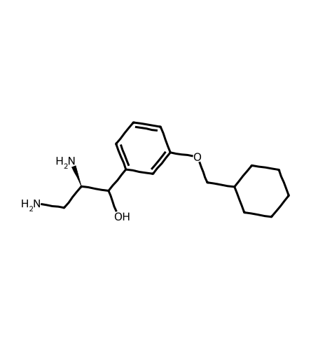 NC[C@@H](N)C(O)c1cccc(OCC2CCCCC2)c1